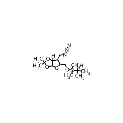 CC1(C)OC2O[C@H](CO[Si](C)(C)C(C)(C)C)[C@H](CN=[N+]=[N-])[C@H]2O1